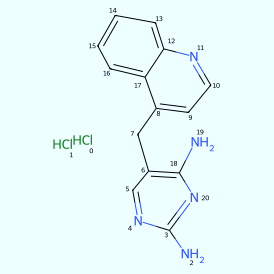 Cl.Cl.Nc1ncc(Cc2ccnc3ccccc23)c(N)n1